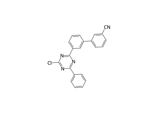 N#Cc1cccc(-c2cccc(-c3nc(Cl)nc(-c4ccccc4)n3)c2)c1